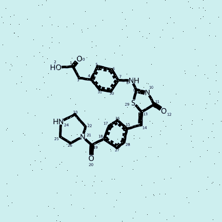 O=C(O)Cc1ccc(NC2=NC(=O)C(=Cc3ccc(C(=O)N4CCNCC4)cc3)S2)cc1